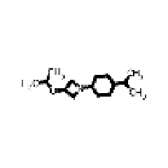 CC(C)OC1CN(C2CCC(C(C)C)CC2)C1